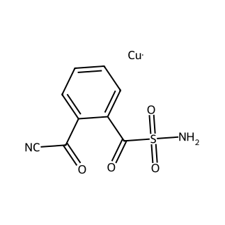 N#CC(=O)c1ccccc1C(=O)S(N)(=O)=O.[Cu]